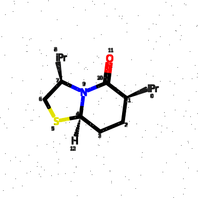 CC(C)[C@H]1CC[C@H]2SC[C@@H](C(C)C)N2C1=O